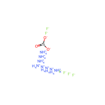 [F-].[F-].[F-].[F-].[F-].[F-].[NH4+].[NH4+].[NH4+].[NH4+].[NH4+].[NH4+].[NH4+].[NH4+].[O]=[Ti]([O-])[O-]